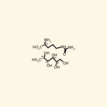 NC(=O)NCCC[C@H](N)C(=O)O.O=C(O)[C@H](O)[C@@H](O)[C@H](O)[C@H](O)CO